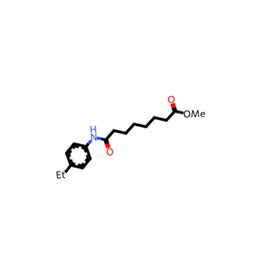 CCc1ccc(NC(=O)CCCCCCC(=O)OC)cc1